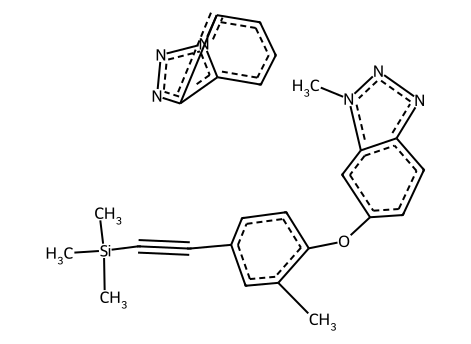 Cc1cc(C#C[Si](C)(C)C)ccc1Oc1ccc2nnn(C)c2c1.c1cc2c3nnn2c3c1